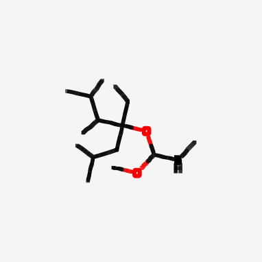 CBC(OC)OC(CC)(CC(C)C)C(C)C(C)C